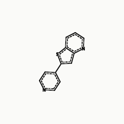 c1cnc2cc(-c3ccncc3)sc2c1